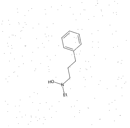 CCN(O)CCCc1ccccc1